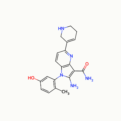 Cc1ccc(O)cc1-n1c(N)c(C(N)=O)c2nc(C3=CCCNC3)ccc21